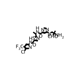 CC(NC(=O)c1cc(N(C=O)CC(C)(C)N)ncn1)c1ncc(C(=O)Nc2cc(C(F)(F)F)c(Cl)cn2)s1